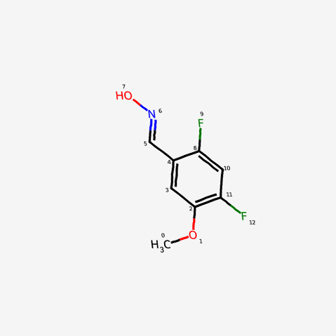 COc1cc(C=NO)c(F)cc1F